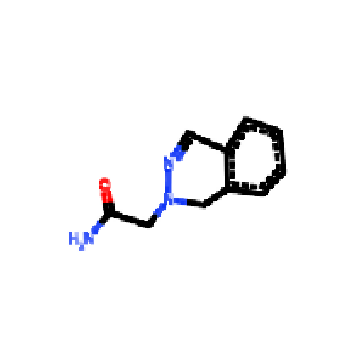 NC(=O)CN1Cc2ccccc2C=N1